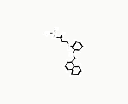 C[S+]([O-])NC(=O)CCNc1ccccc1NCc1cccc2ccccc12